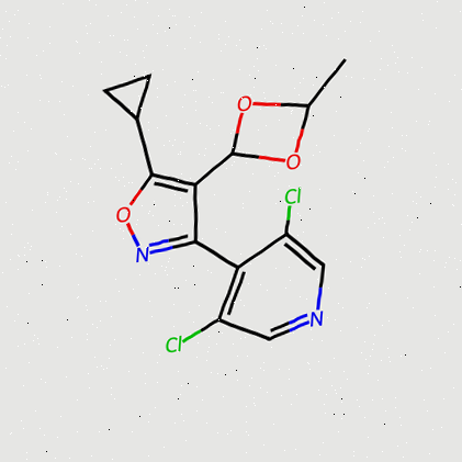 CC1OC(c2c(-c3c(Cl)cncc3Cl)noc2C2CC2)O1